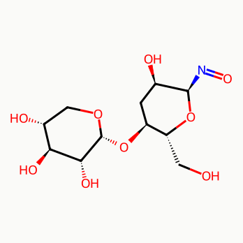 O=N[C@H]1O[C@H](CO)[C@@H](O[C@H]2OC[C@@H](O)[C@H](O)[C@H]2O)C[C@H]1O